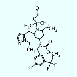 CCC1CC(N(Cc2cc(Cl)cc(C(F)(F)F)c2)C(=O)OC)CC(Cc2ccnn2CC)N1C(C)(C)OC=O